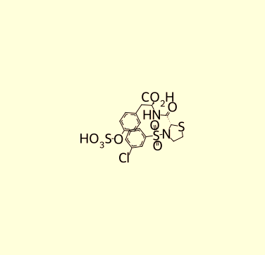 O=C(O)[C@H](Cc1ccc(OS(=O)(=O)O)cc1)NC(=O)[C@@H]1SCCN1S(=O)(=O)c1cccc(Cl)c1